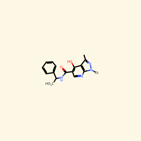 CCn1nc(C)c2c(O)c(C(=O)NC(C(=O)O)c3ccccc3)cnc21